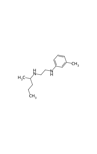 CCCC(C)NCCNc1cccc(C)c1